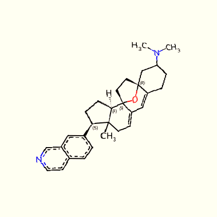 CN(C)C1CCC2=CC3=CCC4(C)[C@@H](c5ccc6ccncc6c5)CC[C@H]4[C@@]34CC[C@]2(C1)O4